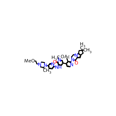 COCCN1CCN(c2ccc(Nc3cc(-c4ccnc(N5CCn6c(cc7c6CC(C)(C)C7)C5=O)c4COC(C)=O)cn(C)c3=O)nc2)[C@@H](C)C1